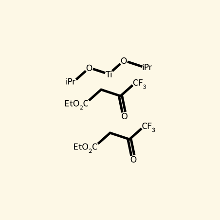 CC(C)[O][Ti][O]C(C)C.CCOC(=O)CC(=O)C(F)(F)F.CCOC(=O)CC(=O)C(F)(F)F